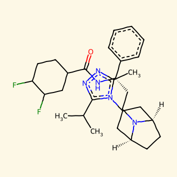 Cc1nnc(C(C)C)n1C1C[C@H]2CC[C@@H](C1)N2CC[C@H](NC(=O)C1CCC(F)C(F)C1)c1ccccc1